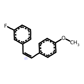 COc1ccc(/C=C\c2cccc(F)c2)cc1